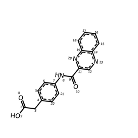 O=C(O)Cc1ccc(NC(=O)c2cnc3ccccc3n2)cc1